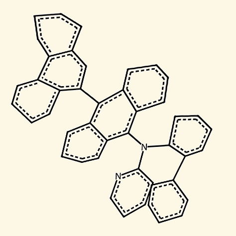 c1ccc(-c2ccccc2N(c2ccccn2)c2c3ccccc3c(-c3cc4ccccc4c4ccccc34)c3ccccc23)cc1